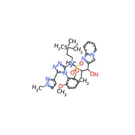 COc1cccc(OC)c1-n1c(-c2ccn(C)n2)nnc1N(CC[Si](C)(C)C)S(=O)(=O)C(C)C(O)c1cn2ccccc2n1